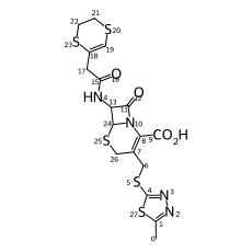 Cc1nnc(SCC2=C(C(=O)O)N3C(=O)C(NC(=O)CC4=CSCCS4)C3SC2)s1